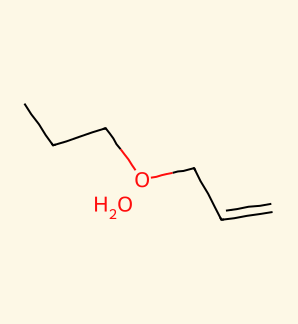 C=CCOCCC.O